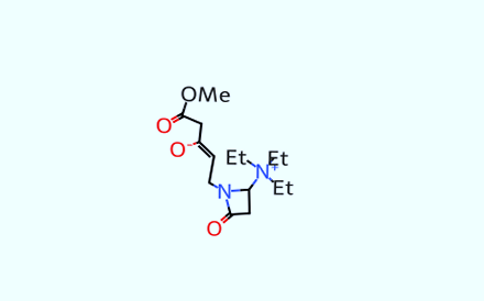 CC[N+](CC)(CC)C1CC(=O)N1CC=C([O-])CC(=O)OC